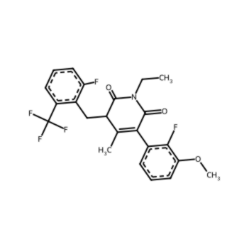 CCN1C(=O)C(c2cccc(OC)c2F)=C(C)C(Cc2c(F)cccc2C(F)(F)F)C1=O